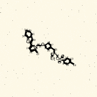 CCO[C@H](COS(=O)(=O)c1ccc(C)cc1)Cc1ccc(OCCn2c(C)ccc2-c2cc3ccccc3o2)cc1